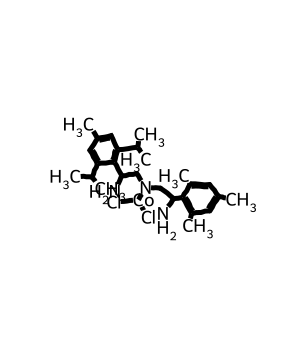 Cc1cc(C)c(C(N)C[N](CC(N)c2c(C(C)C)cc(C)cc2C(C)C)[Co]([Cl])[Cl])c(C)c1